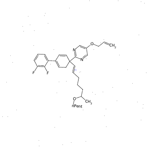 C=CCOc1cnc(C2(/C=C/CCCC(C)OCCCCC)C=CC(c3cccc(F)c3F)=CC2)nc1